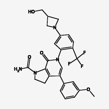 COc1cccc(-c2cn(-c3cc(N4CC(CO)C4)ccc3C(F)(F)F)c(=O)c3c2CCN3C(N)=O)c1